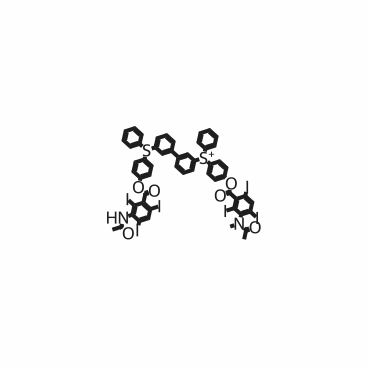 CC(=O)Nc1c(I)cc(I)c(C(=O)Oc2ccc([S+](c3ccccc3)c3cccc(-c4cccc([S+](c5ccccc5)c5ccc(OC(=O)c6c(I)cc(I)c(N(C)C(C)=O)c6I)cc5)c4)c3)cc2)c1I